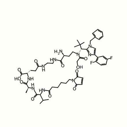 CC(C)C(NC(=O)CCCCCN1C(=O)C=CC1=O)C(=O)N[C@@H](C)C(=O)N[C@@H](CCC(=O)NCCNC(=O)[C@@H](N)CCN(C(=O)CO)[C@@H](c1nc(-c2cc(F)ccc2F)cn1Cc1ccccc1)C(C)(C)C)C(=O)O